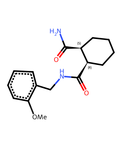 COc1ccccc1CNC(=O)[C@@H]1CCCC[C@@H]1C(N)=O